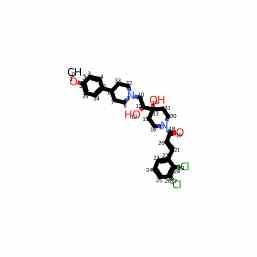 COc1ccc(C2CCN(CC(O)C3(O)CCN(C(=O)C=Cc4cccc(Cl)c4Cl)CC3)CC2)cc1